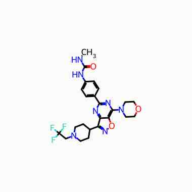 CNC(=O)Nc1ccc(-c2nc(N3CCOCC3)c3onc(C4CCN(CC(F)(F)F)CC4)c3n2)cc1